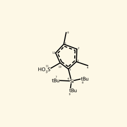 Cc1cc(C)c([Si](C(C)(C)C)(C(C)(C)C)C(C)(C)C)c(S(=O)(=O)O)c1